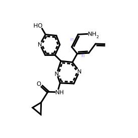 C=C/C=C(\C=C/N)c1ncc(NC(=O)C2CC2)nc1-c1ccc(O)nc1